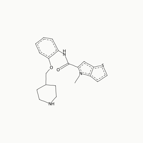 Cn1c(C(=O)Nc2ccccc2OCC2CCNCC2)cc2sccc21